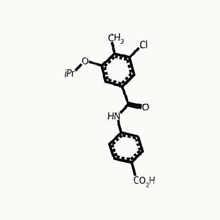 Cc1c(Cl)cc(C(=O)Nc2ccc(C(=O)O)cc2)cc1OC(C)C